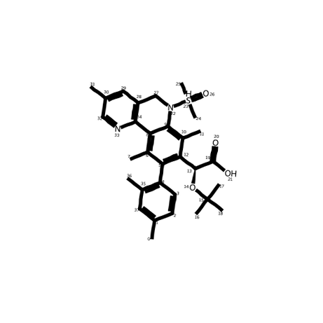 Cc1ccc(-c2c(C)c3c(c(C)c2[C@H](OC(C)(C)C)C(=O)O)N([SH](C)(C)=O)Cc2cc(C)cnc2-3)c(C)c1